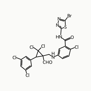 O=CC1(CNc2ccc(Cl)c(C(=O)Nc3nnc(Br)s3)c2)C(c2cc(Cl)cc(Cl)c2)C1(Cl)Cl